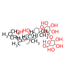 C[C@H](CC[C@@H](O)C(C)(C)C)[C@H]1CC[C@@]2(C)[C@H]3CC=C4[C@@H](CC[C@H](O[C@@H]5O[C@H](CO[C@@H]6O[C@H](CO)[C@@H](O)[C@H](O)[C@H]6O)[C@@H](O)[C@H](O)[C@H]5O)C4(C)C)[C@]3(C)[C@H](O)C[C@]12C